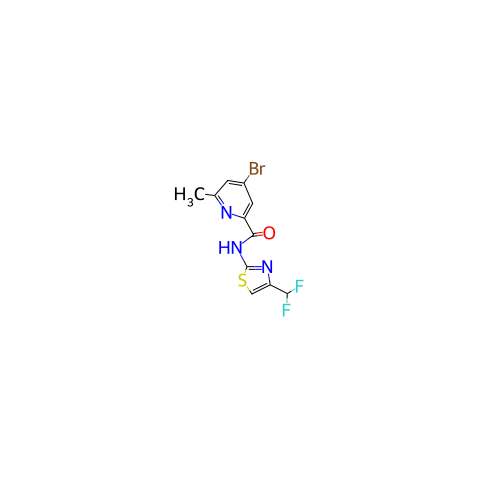 Cc1cc(Br)cc(C(=O)Nc2nc(C(F)F)cs2)n1